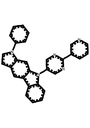 c1ccc(-n2ccc3cc4c5ccccc5n(-c5cnc(-c6cccnc6)nc5)c4cc32)cc1